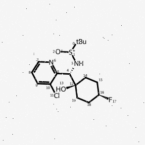 CC(C)(C)[S+]([O-])N[C@@H](c1ncccc1Cl)[C@]1(O)CC[C@@H](F)CC1